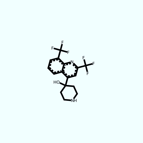 OC1(c2cc(C(F)(F)F)nc3c(C(F)(F)F)cccc23)CCNCC1